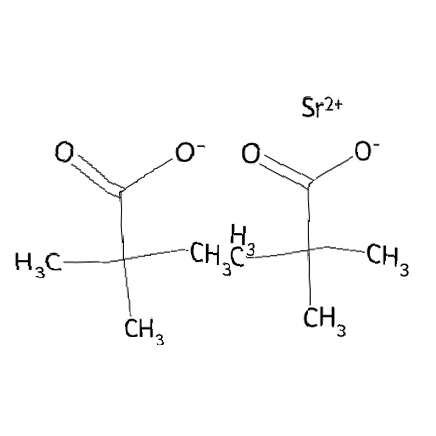 CC(C)(C)C(=O)[O-].CC(C)(C)C(=O)[O-].[Sr+2]